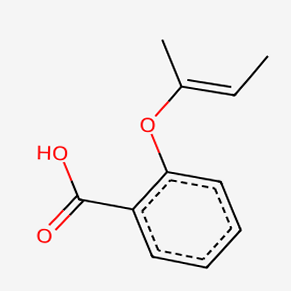 CC=C(C)Oc1ccccc1C(=O)O